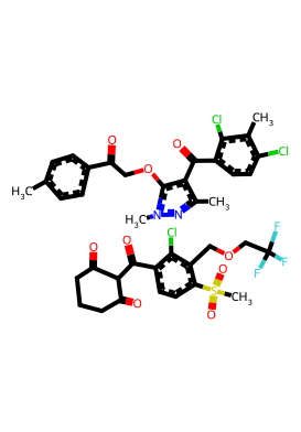 CS(=O)(=O)c1ccc(C(=O)C2C(=O)CCCC2=O)c(Cl)c1COCC(F)(F)F.Cc1ccc(C(=O)COc2c(C(=O)c3ccc(Cl)c(C)c3Cl)c(C)nn2C)cc1